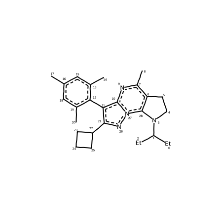 CCC(CC)N1CCc2c(C)nc3c(-c4c(C)cc(C)cc4C)c(C4CCC4)nn3c21